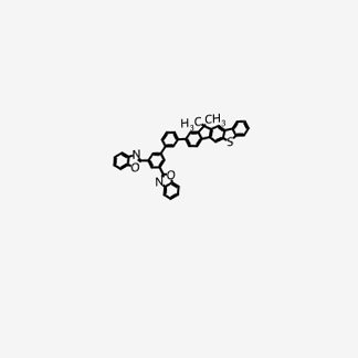 CC1(C)c2cc(-c3cccc(-c4cc(-c5nc6ccccc6o5)cc(-c5nc6ccccc6o5)c4)c3)ccc2-c2cc3sc4ccccc4c3cc21